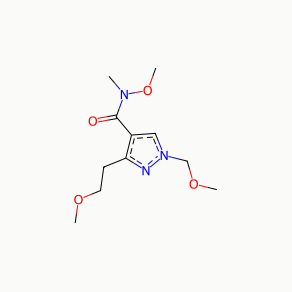 COCCc1nn(COC)cc1C(=O)N(C)OC